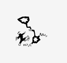 Nc1ccc(C(=O)O)cc1CNCCc1ccccc1.O=C(O)C(F)(F)F